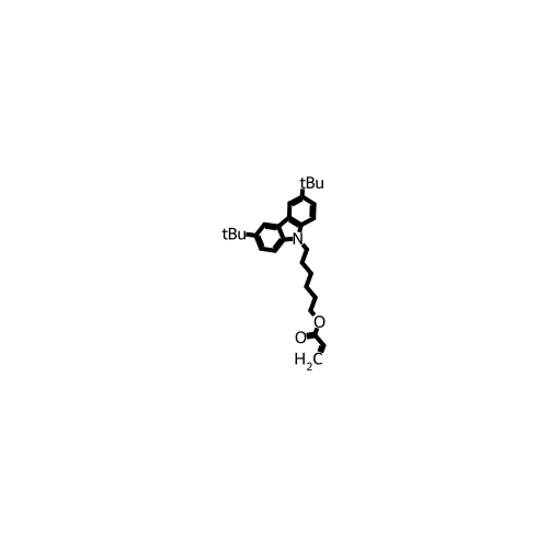 C=CC(=O)OCCCCCCn1c2ccc(C(C)(C)C)cc2c2cc(C(C)(C)C)ccc21